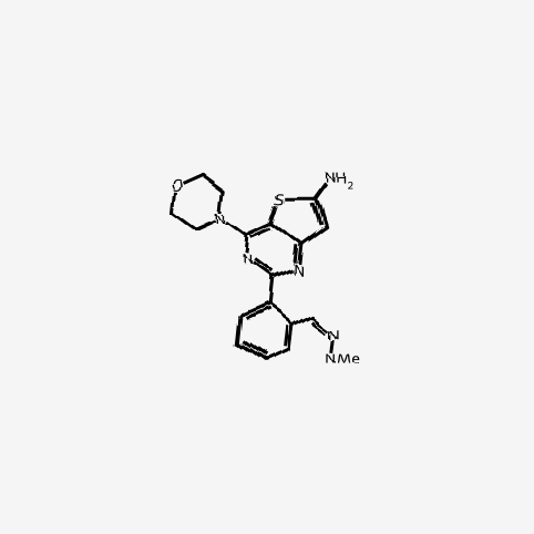 CN/N=C\c1ccccc1-c1nc(N2CCOCC2)c2sc(N)cc2n1